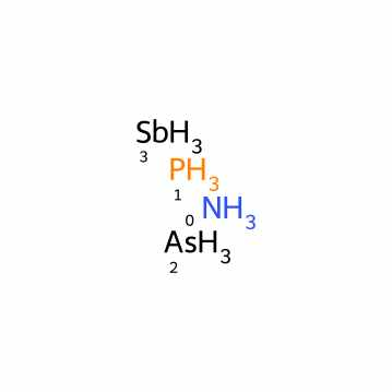 N.P.[AsH3].[SbH3]